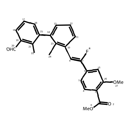 COC(=O)c1ccc(/C(F)=C/c2cccc(-c3cccc(C=O)c3C)c2C)cc1OC